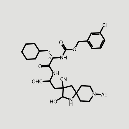 CC(=O)N1CCC2(CC1)CC(C#N)(CC(C=O)NC(=O)[C@H](CC1CCCCC1)NC(=O)OCc1cccc(Cl)c1)C(O)N2